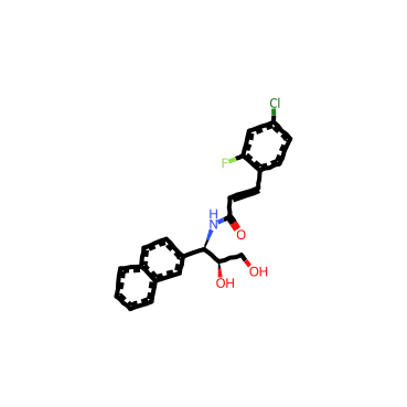 O=C(C=Cc1ccc(Cl)cc1F)N[C@H](c1ccc2ccccc2c1)[C@H](O)CO